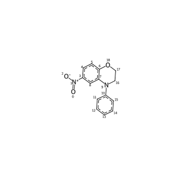 O=[N+]([O-])c1ccc2c(c1)N(c1ccccc1)CCO2